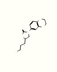 NCC[C@@H](O)C1CN(c2ccc3c(c2)OCCO3)C(=O)O1